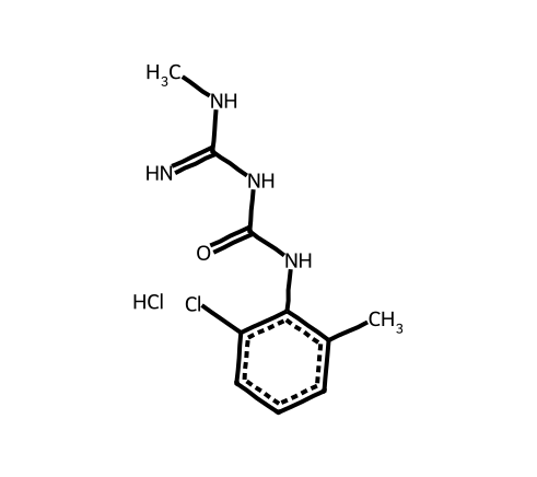 CNC(=N)NC(=O)Nc1c(C)cccc1Cl.Cl